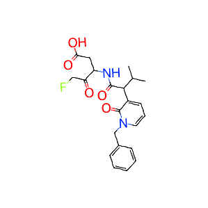 CC(C)C(C(=O)NC(CC(=O)O)C(=O)CF)c1cccn(Cc2ccccc2)c1=O